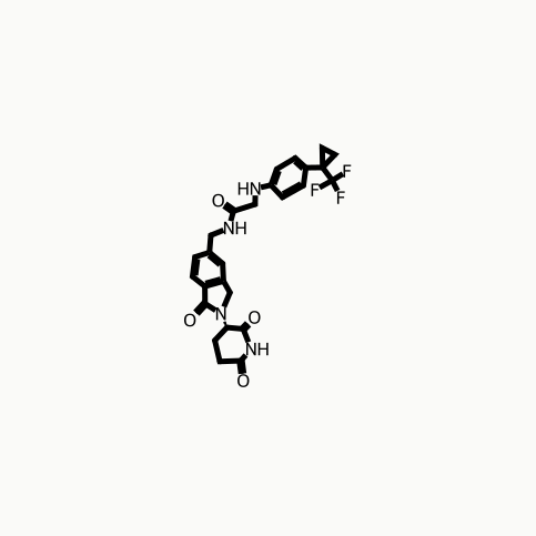 O=C(CNc1ccc(C2(C(F)(F)F)CC2)cc1)NCc1ccc2c(c1)CN([C@H]1CCC(=O)NC1=O)C2=O